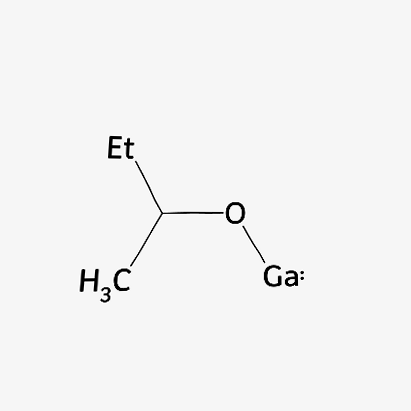 CCC(C)[O][Ga]